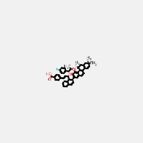 CC(Cc1ccc(F)cc1)Oc1cc(-c2ccc3ccccc3c2C(O)C=Cc2ccc(C(=O)O)cc2)cc2ccc3c(c12)C(C)(C)CC1=C3C=CC(C)(C)C1